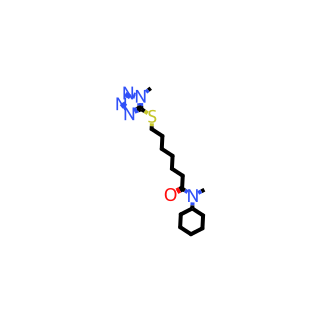 CN(C(=O)CCCCCCSc1nnnn1C)C1CCCCC1